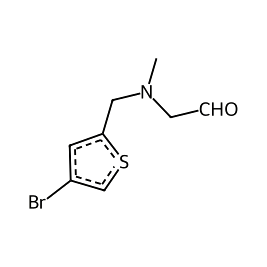 CN(CC=O)Cc1cc(Br)cs1